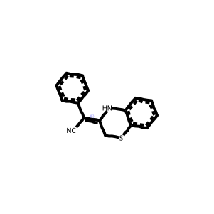 N#C/C(=C1\CSc2ccccc2N1)c1ccccc1